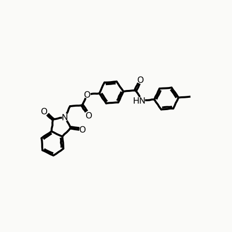 Cc1ccc(NC(=O)c2ccc(OC(=O)CN3C(=O)c4ccccc4C3=O)cc2)cc1